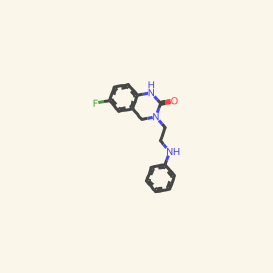 O=C1Nc2ccc(F)cc2CN1CCNc1ccccc1